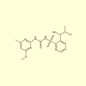 COc1cc(C)nc(NC(=O)NS(=O)(=O)c2ncccc2C(O)C(C)Cl)n1